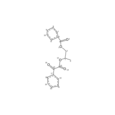 CC(COC(=O)c1ccccc1)OC(=O)C(=O)c1ccccc1